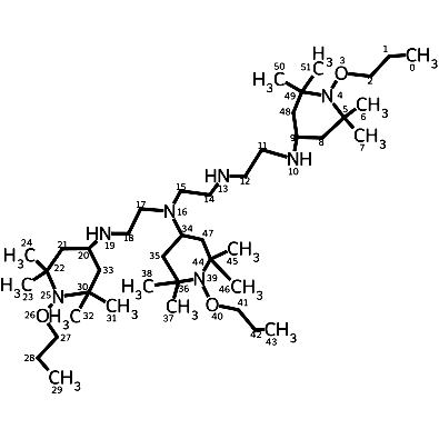 CCCON1C(C)(C)CC(NCCNCCN(CCNC2CC(C)(C)N(OCCC)C(C)(C)C2)C2CC(C)(C)N(OCCC)C(C)(C)C2)CC1(C)C